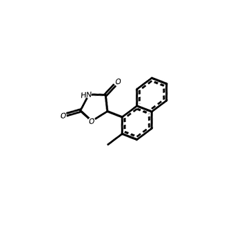 Cc1ccc2ccccc2c1C1OC(=O)NC1=O